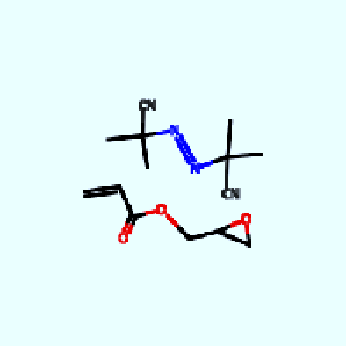 C=CC(=O)OCC1CO1.CC(C)(C#N)N=NC(C)(C)C#N